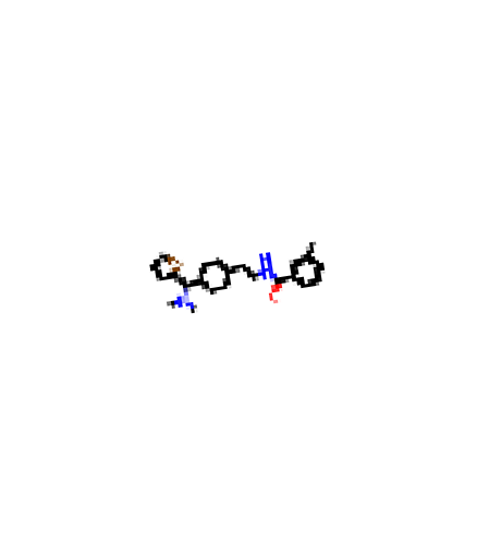 Cc1cccc(C(=O)NCCC2CCC(C(c3cccs3)N(C)C)CC2)c1